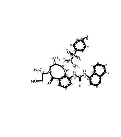 C[C@@H]1CN([C@@H](C)CO)C(=O)c2cccc(NC(=O)Nc3cccc4ccccc34)c2O[C@H]1CN(C)S(=O)(=O)c1ccc(Cl)cc1